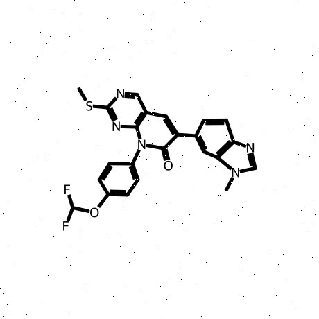 CSc1ncc2cc(-c3ccc4ncn(C)c4c3)c(=O)n(-c3ccc(OC(F)F)cc3)c2n1